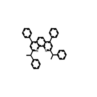 CC(c1ccccc1)c1cc(-c2ccccc2)c2ccc3c(-c4ccccc4)cc(C(C)c4ccccc4)nc3c2n1